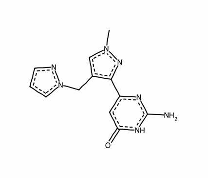 Cn1cc(Cn2cccn2)c(-c2cc(=O)[nH]c(N)n2)n1